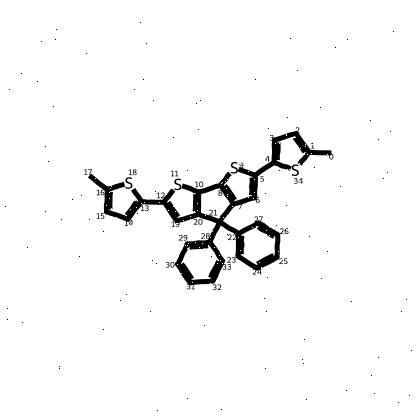 Cc1ccc(-c2cc3c(s2)-c2sc(-c4ccc(C)s4)cc2C3(c2ccccc2)c2ccccc2)s1